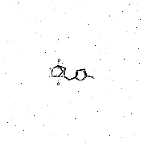 Clc1ccc(CN2C[C@H]3C[C@@H]2CN3)s1